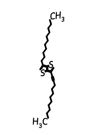 CCCCCCCCCCC#Cc1csc2c(CCCCCCCCCCCC)csc12